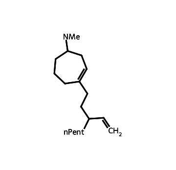 C=CC(CCCCC)CCC1=CCC(NC)CCC1